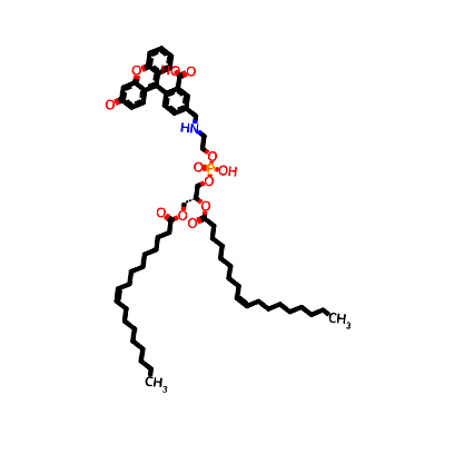 CCCCCCCC/C=C\CCCCCCCC(=O)OC[C@H](COP(=O)(O)OCCNCc1ccc(-c2c3ccc(=O)cc-3oc3ccccc23)c(C(=O)O)c1)OC(=O)CCCCCCC/C=C\CCCCCCCC